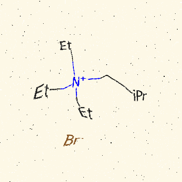 CC[N+](CC)(CC)CC(C)C.[Br-]